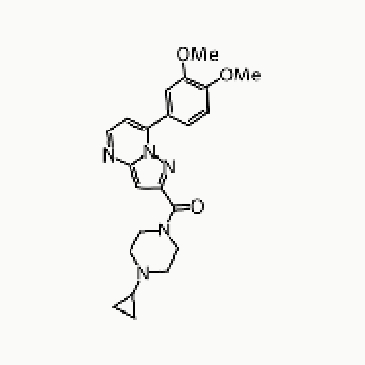 COc1ccc(-c2ccnc3cc(C(=O)N4CCN(C5CC5)CC4)nn23)cc1OC